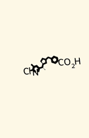 Cc1cc([C@@H](C)[C@H]2CCC(Cc3ccc(C(=O)O)cc3)C2)cnc1Cl